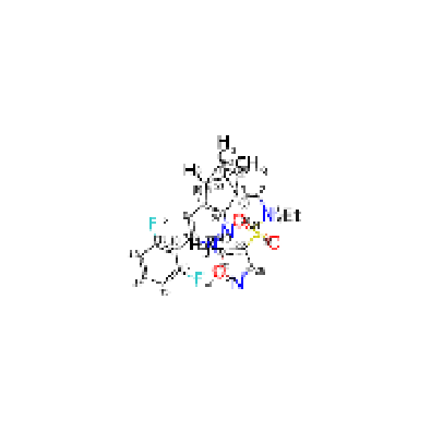 CCN(C[C@@]12CC[C@@H](c3cc(-c4c(F)cccc4F)nnc31)C2(C)C)S(=O)(=O)c1cnoc1C